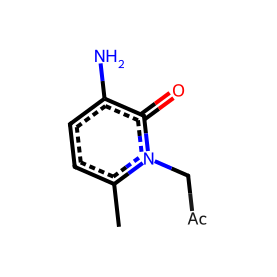 CC(=O)Cn1c(C)ccc(N)c1=O